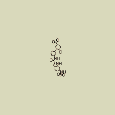 COC(=O)c1ccc(Cl)c(-c2cccc(NC(=O)c3cc4ccc(NS(C)(=O)=O)cc4[nH]3)c2)c1